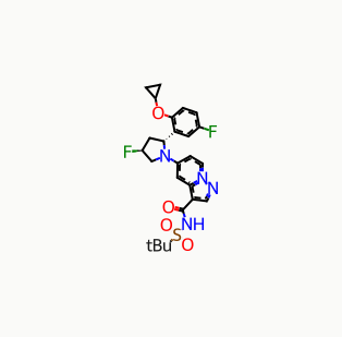 CC(C)(C)S(=O)(=O)NC(=O)c1cnn2ccc(N3C[C@@H](F)C[C@@H]3c3cc(F)ccc3OC3CC3)cc12